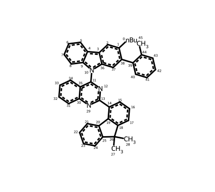 CCCCc1cc2c3ccccc3n(-c3nc(-c4cccc5c4-c4ccccc4C5(C)C)nc4ccccc34)c2cc1-c1ccccc1C